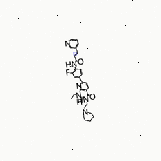 CCNc1nc(-c2ccc(NC(=O)/C=C/c3cccnc3)c(F)c2)ccc1C(=O)NCCN1CCCCC1